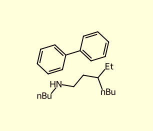 CCCCNCCC(CC)CCCC.c1ccc(-c2ccccc2)cc1